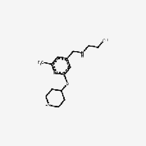 OCCNCc1cc(OC2CCNCC2)nc(C(F)(F)F)c1